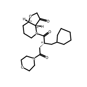 O=C1CO[C@H]2CCCN(C(=O)[C@@H](CC(=O)N3CCOCC3)CC3CCCCC3)[C@@H]12